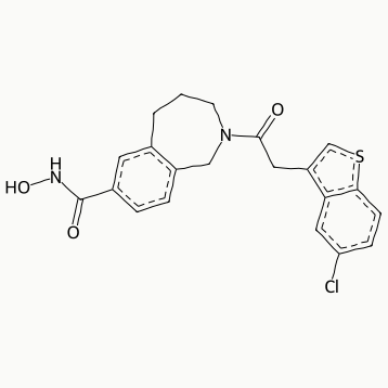 O=C(NO)c1ccc2c(c1)CCCN(C(=O)Cc1csc3ccc(Cl)cc13)C2